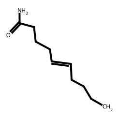 CCCCC=CCCCC(N)=O